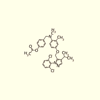 CC(=O)Oc1ccc(CN(C)c2ccc(OCc3c(C(C)C)cnn3-c3c(Cl)cccc3Cl)cc2C)cc1